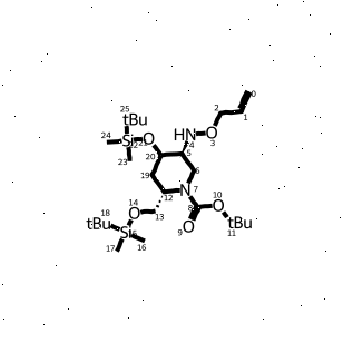 C=CCON[C@H]1CN(C(=O)OC(C)(C)C)[C@H](CO[Si](C)(C)C(C)(C)C)CC1O[Si](C)(C)C(C)(C)C